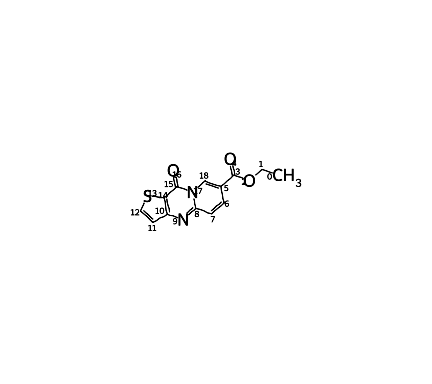 CCOC(=O)c1ccc2nc3ccsc3c(=O)n2c1